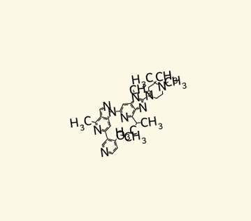 COc1ccncc1-c1cc2c(cnn2-c2cc3c(nc(N4CCN(C)C(C)(C)C4)n3C)c(C(C)C)n2)c(C)n1